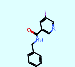 O=C(NCc1ccccc1)c1cncc(I)c1